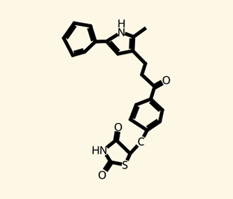 Cc1[nH]c(-c2ccccc2)cc1CCC(=O)c1ccc(CC2SC(=O)NC2=O)cc1